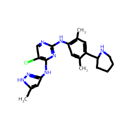 Cc1cc(Nc2nc(Nc3cc(C)c(C4CCCCN4)cc3C)ncc2Cl)n[nH]1